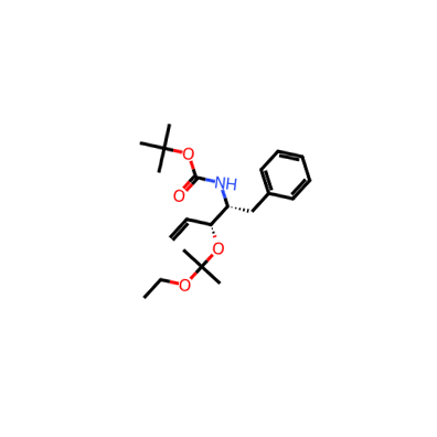 C=C[C@@H](OC(C)(C)OCC)[C@@H](Cc1ccccc1)NC(=O)OC(C)(C)C